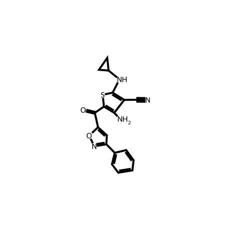 N#Cc1c(NC2CC2)sc(C(=O)c2cc(-c3ccccc3)no2)c1N